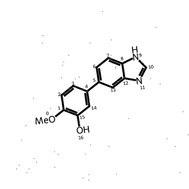 COc1[c]cc(-c2ccc3[nH]cnc3c2)cc1O